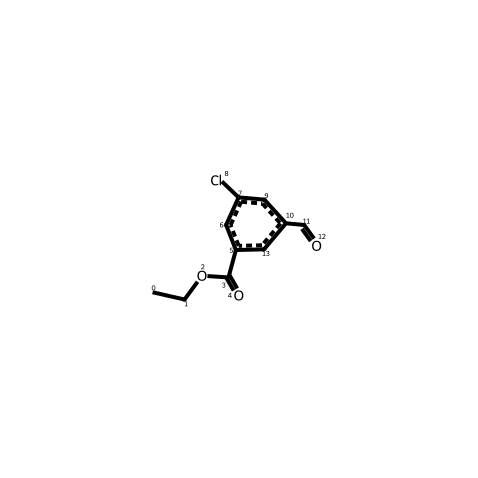 CCOC(=O)c1cc(Cl)cc(C=O)c1